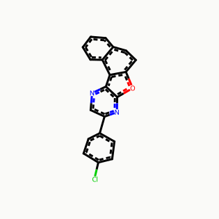 Clc1ccc(-c2cnc3c(n2)oc2ccc4ccccc4c23)cc1